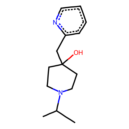 CC(C)N1CCC(O)(Cc2ccccn2)CC1